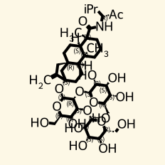 C=C1C[C@@]23CC[C@H]4[C@@](C)(CCC[C@@]4(C)C(=O)N[C@@H](C(C)=O)C(C)C)[C@@H]2CC[C@]1(O[C@@H]1O[C@H](CO)[C@@H](O)[C@H](O[C@@H]2O[C@H](CO)[C@@H](O)[C@H](O)[C@H]2O)[C@H]1O[C@@H]1O[C@H](CO)[C@@H](O)[C@H](O)[C@H]1O)C3